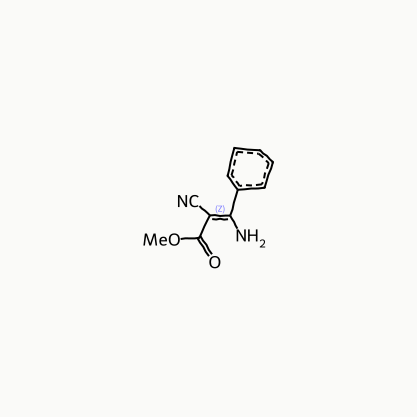 COC(=O)/C(C#N)=C(\N)c1ccccc1